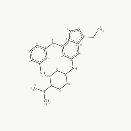 CCc1cnn2c(Nc3cccc(N)c3)cc(NC3CCC(N(C)C)CC3)nc12